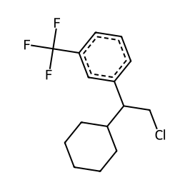 FC(F)(F)c1cccc(C(CCl)C2CCCCC2)c1